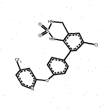 O=S1(=O)NCc2cc(Cl)cc(-c3ccc(Oc4cc(C(F)(F)F)ccn4)cc3)c2N1